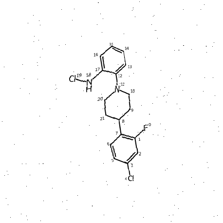 Fc1cc(Cl)ccc1C1CCN(c2ccccc2NCl)CC1